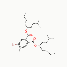 CCCCC(CCC(C)C)OC(=O)c1cc(C)c(Br)cc1C(=O)OC(CCCC)CCC(C)C